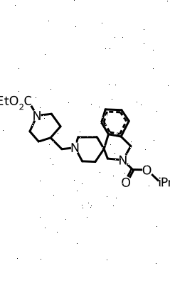 CCOC(=O)N1CCC(CN2CCC3(CC2)CN(C(=O)OC(C)C)Cc2ccccc23)CC1